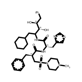 CC(C)C[C@H](O)[C@H](O)C(CC1CCCCC1)NC(=O)[C@H](Cc1cscn1)NC(=O)[C@H](Cc1ccccc1)CS(=O)(=O)N1CCN(C)CC1